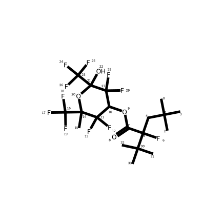 CC(C)(C)CC(F)(C(=O)OC1C(F)(F)C(C)(C(F)(F)F)OC(O)(C(F)(F)F)C1(F)F)C(C)(C)C